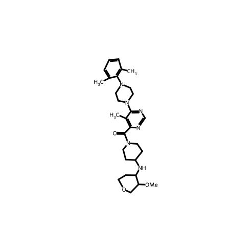 COC1COCCC1NC1CCN(C(=O)c2ncnc(N3CCN(c4c(C)cccc4C)CC3)c2C)CC1